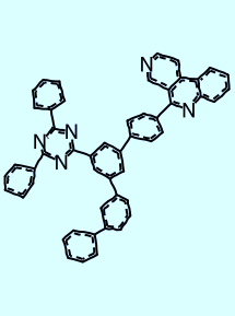 c1ccc(-c2cccc(-c3cc(-c4ccc(-c5nc6ccccc6c6ccncc56)cc4)cc(-c4nc(-c5ccccc5)nc(-c5ccccc5)n4)c3)c2)cc1